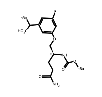 CCCCC(C(=O)O)c1cc(F)cc(OC[C@H](CCC(N)=O)NC(=O)OC(C)(C)C)c1